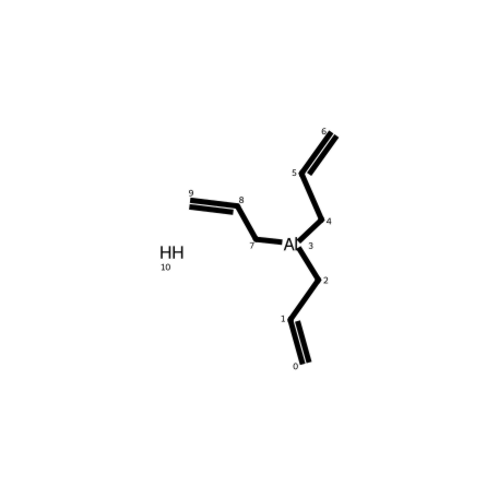 C=C[CH2][Al]([CH2]C=C)[CH2]C=C.[HH]